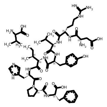 CC(C)C(N)C(=O)O.CC[C@H](C)[C@H](NC(=O)[C@H](Cc1ccc(O)cc1)NC(=O)[C@@H](NC(=O)[C@H](CCCNC(=N)N)NC(=O)[C@@H](N)CC(=O)O)C(C)C)C(=O)N[C@@H](Cc1cnc[nH]1)C(=O)N1CCC[C@H]1C(=O)N[C@@H](Cc1ccccc1)C(=O)O